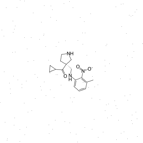 Cc1cccc(NC[C@]2(C(=O)C3CC3)CCNC2)c1[N+](=O)[O-]